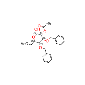 CC(=O)OC[C@H]1O[C@H](O)[C@H](OC(=O)C(C)(C)C)[C@@H](OCc2ccccc2)[C@@H]1OCc1ccccc1